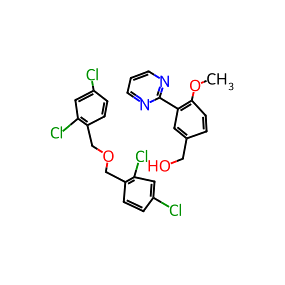 COc1ccc(CO)cc1-c1ncccn1.Clc1ccc(COCc2ccc(Cl)cc2Cl)c(Cl)c1